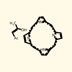 C1=Cc2cc3ccc(cc4nc(cc5ccc(cc1n2)[nH]5)C=C4)[nH]3.CC(=O)/C=C(/C)O